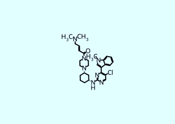 CN(C)C/C=C/C(=O)N1CCN([C@H]2CCC[C@@H](Nc3ncc(Cl)c(-c4cn(C)c5ccccc45)n3)C2)CC1